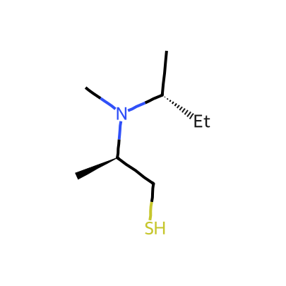 CC[C@@H](C)N(C)[C@H](C)CS